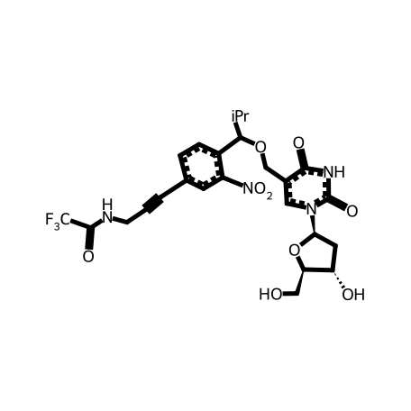 CC(C)C(OCc1cn([C@H]2C[C@H](O)[C@@H](CO)O2)c(=O)[nH]c1=O)c1ccc(C#CCNC(=O)C(F)(F)F)cc1[N+](=O)[O-]